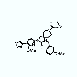 COc1cccc(CN2C(=O)N(c3ccc(-c4cn[nH]c4)c(OC)n3)CC23CCN(C(=O)CN(C)C)CC3)c1